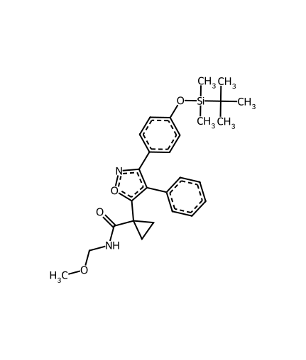 COCNC(=O)C1(c2onc(-c3ccc(O[Si](C)(C)C(C)(C)C)cc3)c2-c2ccccc2)CC1